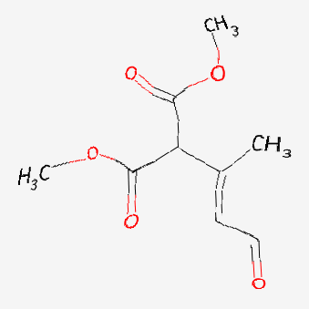 COC(=O)C(C(=O)OC)C(C)=CC=O